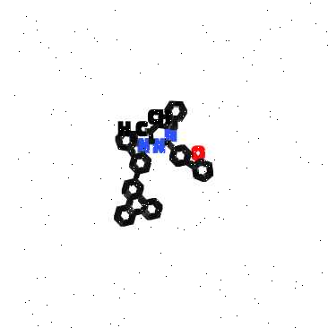 CC1C(n2c3ccccc3c3cc(-c4ccc5c6ccccc6c6ccccc6c5c4)ccc32)=NC(c2ccc3c(c2)oc2ccccc23)=NC(c2ccccc2)C1C